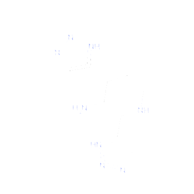 NC1C(c2cnn[nH]2)CCNC1c1cnn[nH]1